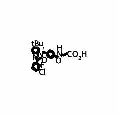 C[C@H](c1ccc(C(=O)NCCC(=O)O)cc1)N1C(=O)C(c2cccc(Cl)c2F)=NC12CCC(C(C)(C)C)CC2